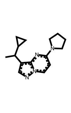 CC(c1cnn2ccc(N3CCCC3)nc12)C1CC1